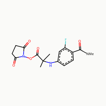 CNC(=O)c1ccc(NC(C)(C)C(=O)ON2C(=O)CCC2=O)cc1F